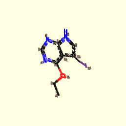 CCOc1ncnc2[nH]cc(I)c12